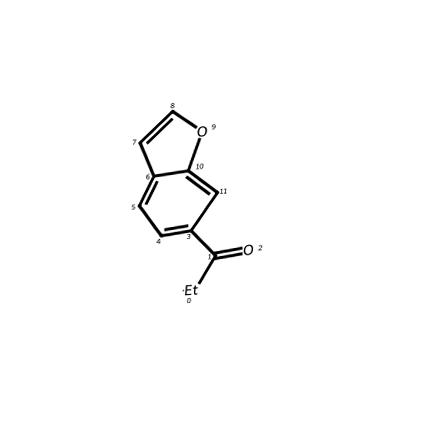 C[CH]C(=O)c1ccc2ccoc2c1